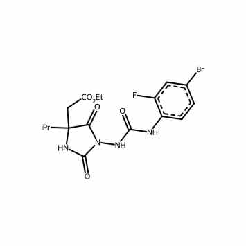 CCOC(=O)CC1(C(C)C)NC(=O)N(NC(=O)Nc2ccc(Br)cc2F)C1=O